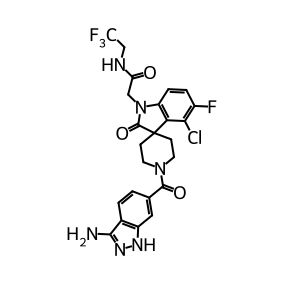 Nc1n[nH]c2cc(C(=O)N3CCC4(CC3)C(=O)N(CC(=O)NCC(F)(F)F)c3ccc(F)c(Cl)c34)ccc12